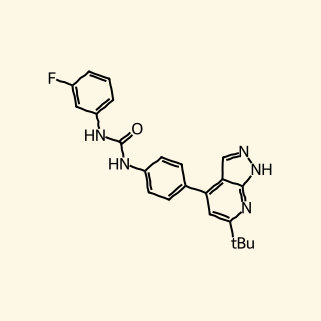 CC(C)(C)c1cc(-c2ccc(NC(=O)Nc3cccc(F)c3)cc2)c2cn[nH]c2n1